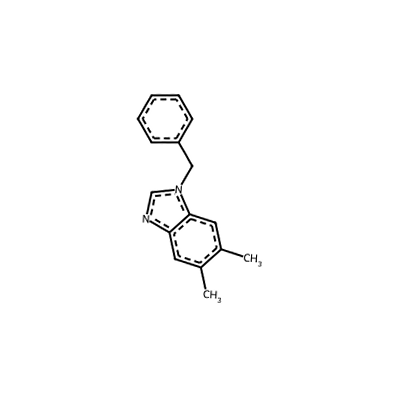 Cc1cc2ncn(Cc3ccccc3)c2cc1C